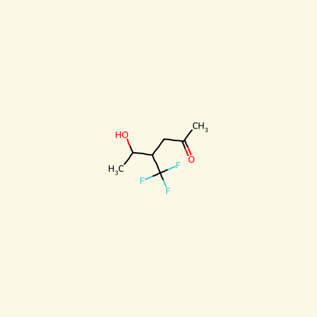 CC(=O)CC(C(C)O)C(F)(F)F